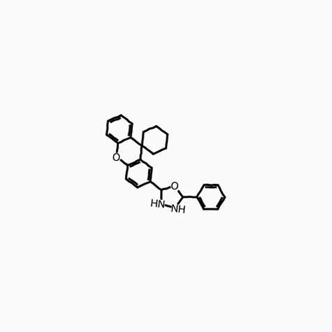 c1ccc(C2NNC(c3ccc4c(c3)C3(CCCCC3)c3ccccc3O4)O2)cc1